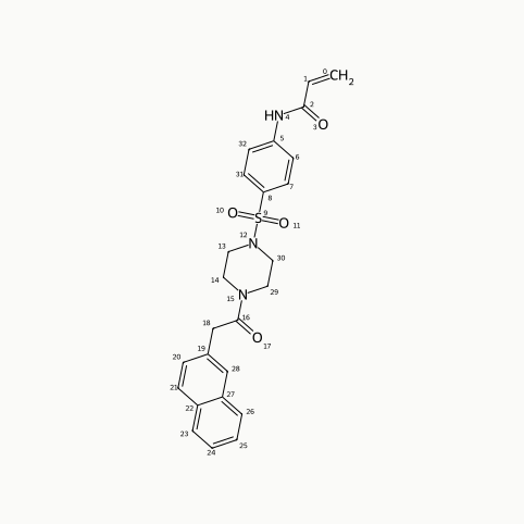 C=CC(=O)Nc1ccc(S(=O)(=O)N2CCN(C(=O)Cc3ccc4ccccc4c3)CC2)cc1